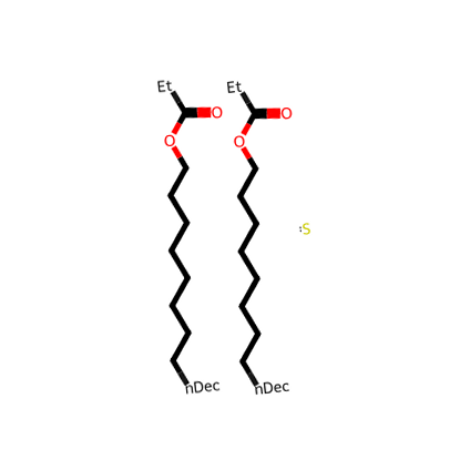 CCCCCCCCCCCCCCCCCCOC(=O)CC.CCCCCCCCCCCCCCCCCCOC(=O)CC.[S]